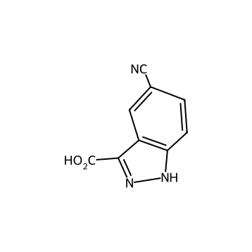 N#Cc1ccc2[nH]nc(C(=O)O)c2c1